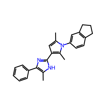 Cc1[nH]c(-c2cc(C)n(-c3ccc4c(c3)CCC4)c2C)nc1-c1ccccc1